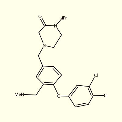 CNCc1cc(CN2CCN(C(C)C)C(=O)C2)ccc1Oc1ccc(Cl)c(Cl)c1